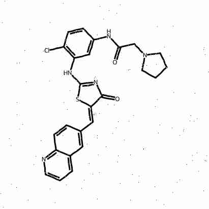 O=C(CN1CCCC1)Nc1ccc(Cl)c(NC2=NC(=O)/C(=C/c3ccc4ncccc4c3)S2)c1